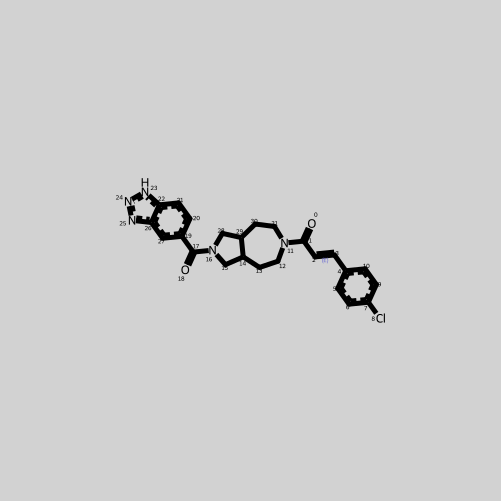 O=C(/C=C/c1ccc(Cl)cc1)N1CCC2CN(C(=O)c3ccc4[nH]nnc4c3)CC2CC1